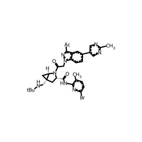 CC(=O)c1nn(CC(=O)N2[C@H](C(=O)Nc3nc(Br)ccc3C)C[C@@]3(CNC(C)(C)C)C[C@@H]23)c2ccc(-c3cnc(C)nc3)cc12